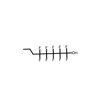 CCCC(F)(F)C(F)(F)C(F)(F)C(F)(F)C(O)(F)F